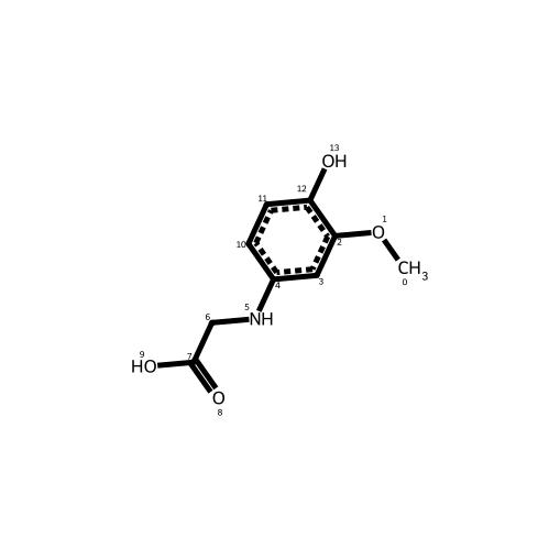 COc1cc(NCC(=O)O)ccc1O